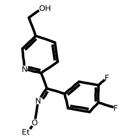 CCO/N=C(\c1ccc(F)c(F)c1)c1ccc(CO)cn1